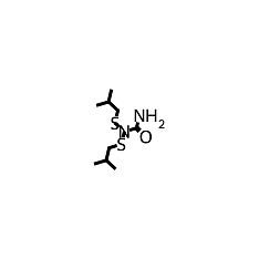 CC(C)CSN(SCC(C)C)C(N)=O